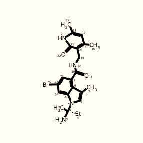 CC[C@@](C)(N)n1cc(C)c2c(C(=O)NCc3c(C)cc(C)[nH]c3=O)cc(Br)cc21